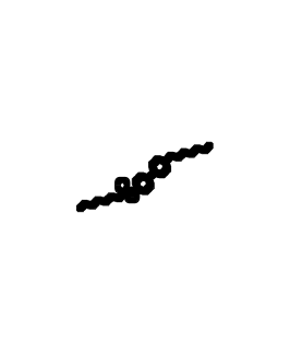 CCCCCCCC(=O)OC1CCC(C2CCC(CCCCCCC)CC2)CC1